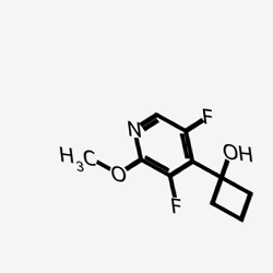 COc1ncc(F)c(C2(O)CCC2)c1F